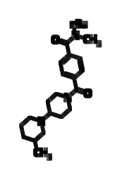 CCCCN(C)C(=O)c1ccc(C(=O)N2CCC(N3CCCC(C)C3)CC2)cc1